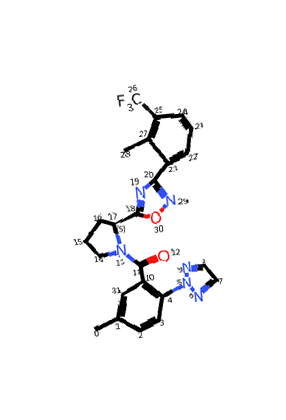 Cc1ccc(-n2nccn2)c(C(=O)N2CCC[C@H]2c2nc(-c3cccc(C(F)(F)F)c3C)no2)c1